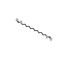 O=[C]OCCCCCCCCCCCCOC=O